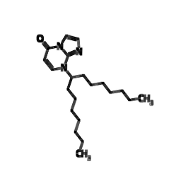 CCCCCCCC(CCCCCCC)n1ccc(=O)n2ccnc12